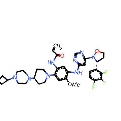 C=CC(=O)Nc1cc(Nc2cc(N3OCC[C@@H]3c3ccc(F)c(F)c3F)ncn2)c(OC)cc1N1CCC(N2CCN(C3CCC3)CC2)CC1